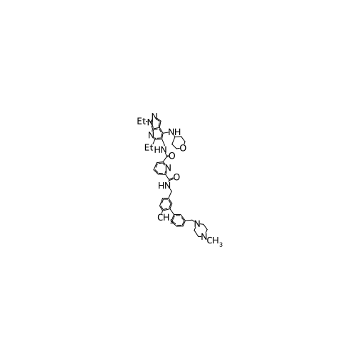 CCc1nc2c(cnn2CC)c(NC2CCOCC2)c1CNC(=O)c1cccc(C(=O)NCc2ccc(C)c(-c3cccc(CN4CCN(C)CC4)c3)c2)n1